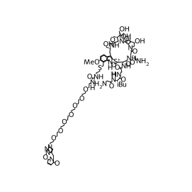 CC[C@H](C)[C@@H](NC(=O)CN)C(=O)NCC(=O)N[C@H]1C[S+]([O-])c2[nH]c3c(CSCCNC(=O)NCCOCCOCCOCCOCCOCCOCCOCCn4cc(CN5C(=O)C=CC5=O)nn4)c(OC)ccc3c2C[C@@H](CO)NC(=O)[C@H]([C@@H](C)[C@@H](O)CO)NC(=O)[C@H]2C[C@@H](O)CN2C(=O)[C@H](CC(N)=O)NC1=O